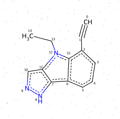 C#Cc1cccc2c3[nH]ncc3n(CC)c12